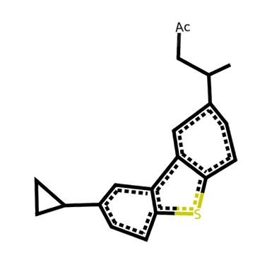 CC(=O)CC(C)c1ccc2sc3ccc(C4CC4)cc3c2c1